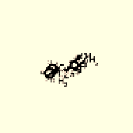 CCC1CC(C(=O)OC2(C)C3CC4CC(C3)CC2C4)C(F)(F)C1(F)C(C)(F)F